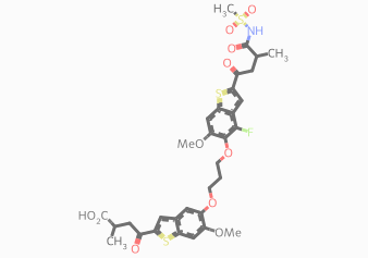 COc1cc2sc(C(=O)CC(C)C(=O)O)cc2cc1OCCCOc1c(OC)cc2sc(C(=O)CC(C)C(=O)NS(C)(=O)=O)cc2c1F